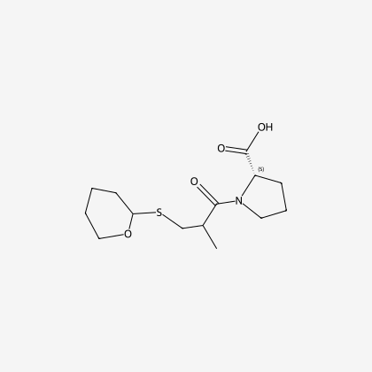 CC(CSC1CCCCO1)C(=O)N1CCC[C@H]1C(=O)O